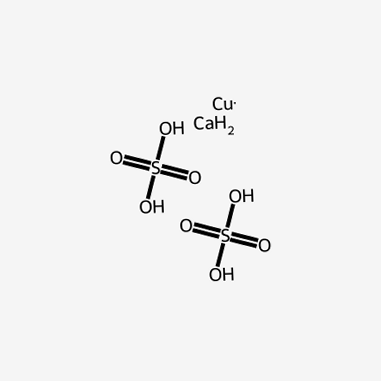 O=S(=O)(O)O.O=S(=O)(O)O.[CaH2].[Cu]